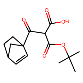 CC(C)(C)OC(=O)C(C(=O)O)C(=O)C12C=CC(CC1)C2